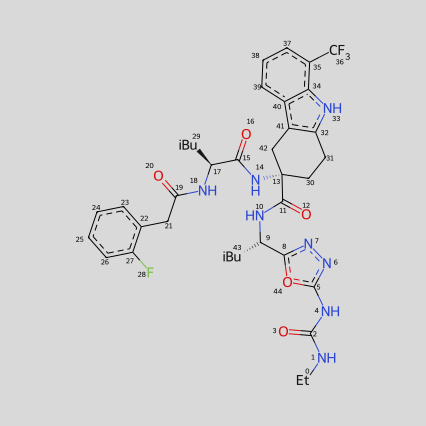 CCNC(=O)Nc1nnc(C(NC(=O)[C@]2(NC(=O)[C@@H](NC(=O)Cc3ccccc3F)C(C)CC)CCc3[nH]c4c(C(F)(F)F)cccc4c3C2)[C@@H](C)CC)o1